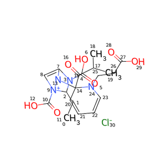 CCC1N(C(=O)O)C2=C[N+]1(C(=O)O)N2C1(C(=O)C(C)C)C=CC=CN1CCC(=O)O.[Cl-]